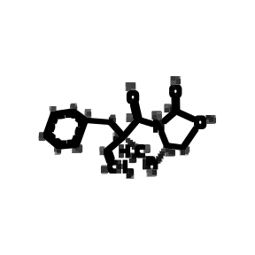 C=C[C@@](C)(Cc1ccccc1)C(=O)N1C(=O)OC[C@@H]1C(C)C